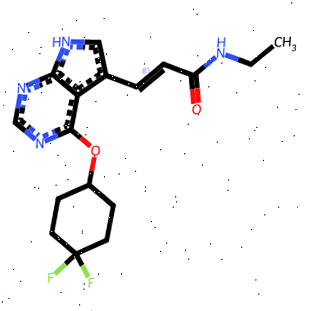 CCNC(=O)/C=C/c1c[nH]c2ncnc(OC3CCC(F)(F)CC3)c12